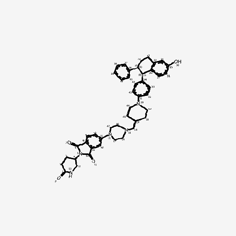 O=C1CCC(N2C(=O)c3ccc(N4CCN(CC5CCN(c6ccc([C@@H]7c8ccc(O)cc8CC[C@@H]7c7ccccc7)cc6)CC5)CC4)cc3C2=O)CN1